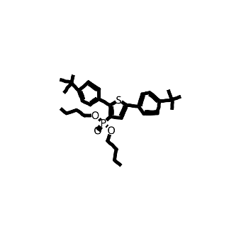 CCCCOP(=O)(OCCCC)c1cc(-c2ccc(C(C)(C)C)cc2)sc1-c1ccc(C(C)(C)C)cc1